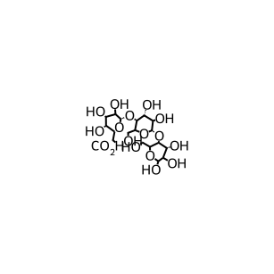 O=C(O)CC1O[C@@H](O[C@@H]2C(CO)O[C@@H](O[C@@H]3C(CO)OC(O)C(O)[C@H]3O)C(O)[C@H]2O)C(O)[C@@H](O)[C@@H]1O